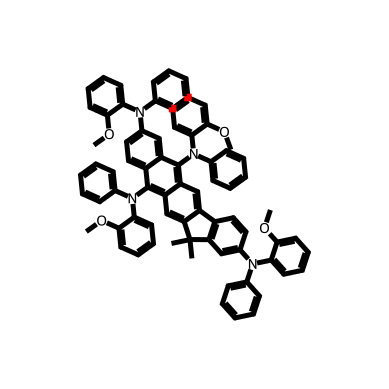 COc1ccccc1N(c1ccccc1)c1ccc2c(c1)C(C)(C)c1cc3c(N(c4ccccc4)c4ccccc4OC)c4ccc(N(c5ccccc5)c5ccccc5OC)cc4c(N(c4ccccc4)c4ccccc4OC)c3cc1-2